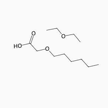 CCCCCCOCC(=O)O.CCOCC